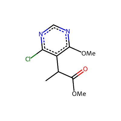 COC(=O)C(C)c1c(Cl)ncnc1OC